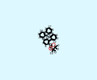 CC1(C)OB(c2cccc3c2-c2ccccc2[Si]3(c2ccccc2)c2ccccc2)OC1(C)C